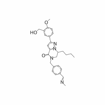 CCCCC1CN(Cc2ccc(/C=N/C)cc2)C(=O)c2cc(-c3ccc(OC)c(CO)c3)nn21